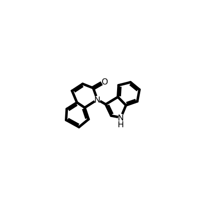 O=c1ccc2ccccc2n1-c1c[nH]c2ccccc12